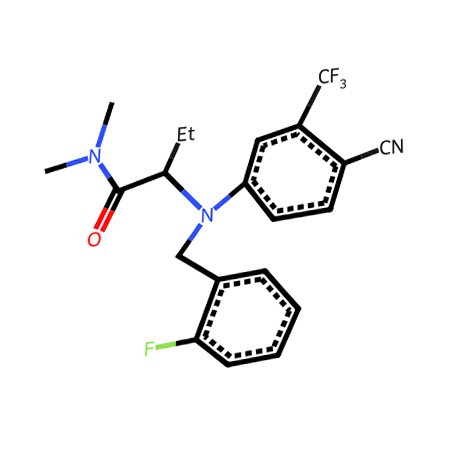 CCC(C(=O)N(C)C)N(Cc1ccccc1F)c1ccc(C#N)c(C(F)(F)F)c1